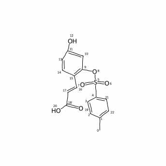 Cc1ccc(S(=O)(=O)Oc2cc(O)ccc2C=CC(=O)O)cc1